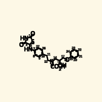 O=C1NC(=O)C(Nc2ccc(CCN(C[C@H](O)COc3ccccc3)C(=O)O)cc2)S1